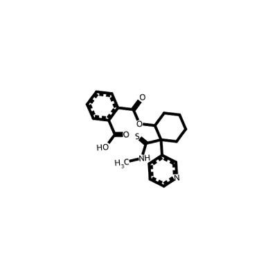 CNC(=S)C1(c2cccnc2)CCCCC1OC(=O)c1ccccc1C(=O)O